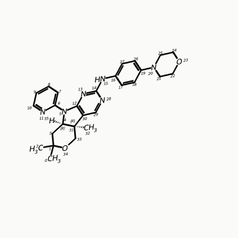 CC1(C)C[C@H]2N(c3ccccn3)c3nc(Nc4ccc(N5CCOCC5)cc4)ncc3[C@@]2(C)CO1